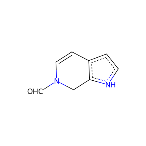 O=CN1C=Cc2cc[nH]c2C1